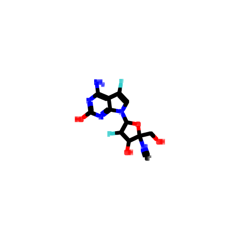 [C-]#[N+]C1(CO)OC(n2cc(F)c3c(N)nc(O)nc32)C(F)C1O